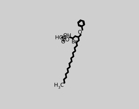 CCCCCCCCCCCCCCCCCCC(COCc1ccccc1)CC(Br)COP(=O)(O)O